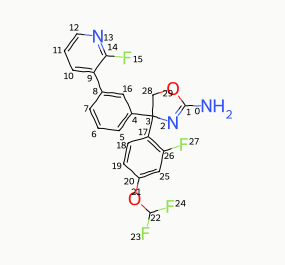 NC1=NC(c2cccc(-c3cccnc3F)c2)(c2ccc(OC(F)F)cc2F)CO1